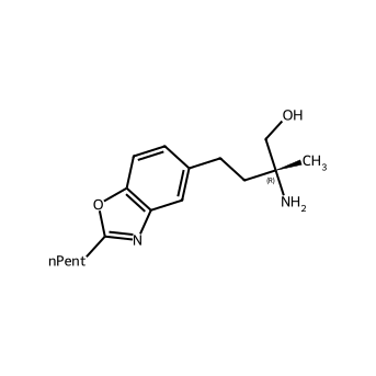 CCCCCc1nc2cc(CC[C@@](C)(N)CO)ccc2o1